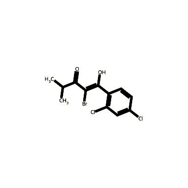 CC(C)C(=O)/C(Br)=C(\O)c1ccc(Cl)cc1Cl